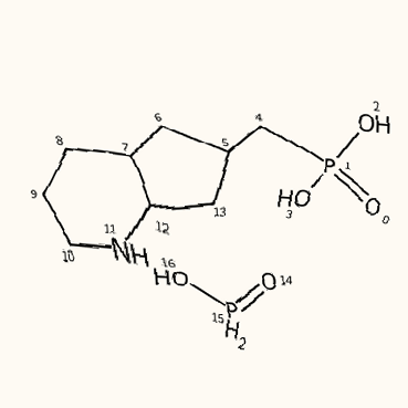 O=P(O)(O)CC1CC2CCCNC2C1.O=[PH2]O